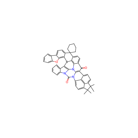 CC1(C)c2ccc3c4c(=O)c5ccc6c7c5n5c8c(c9ccccc9n8c(=O)n(c8ccc(c2c38)C1(C)C)c45)B7c1c(ccc2c1oc1ccccc12)C61CCCCC1